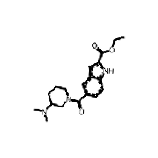 CCOC(=O)c1cc2cc(C(=O)N3CCCC(N(C)C)C3)ccc2[nH]1